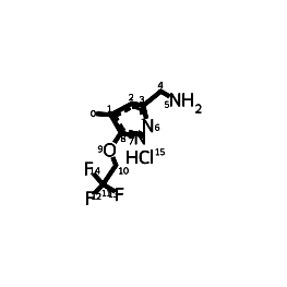 Cc1cc(CN)nnc1OCC(F)(F)F.Cl